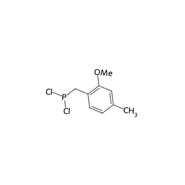 COc1cc(C)ccc1CP(Cl)Cl